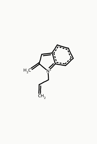 C=CC[N+]1=c2ccccc2=CC1=C